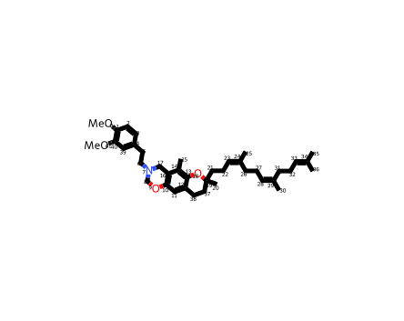 COc1ccc(CCN2COc3cc4c(c(C)c3C2)OC(C)(CCC=C(C)CCC=C(C)CCC=C(C)C)CC4)cc1OC